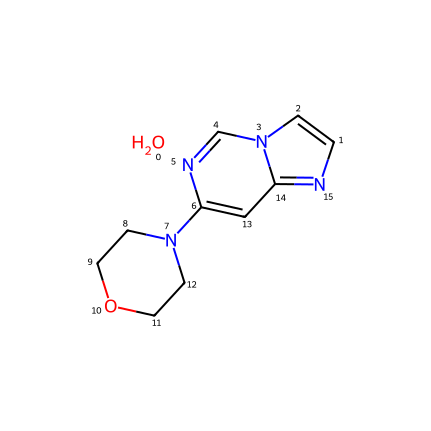 O.c1cn2cnc(N3CCOCC3)cc2n1